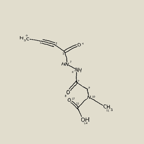 CC#CC(=O)NNC(=O)CN(C)C(=O)O